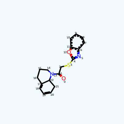 O=C(CSc1nc2ccccc2o1)N1CCCC2=CC=CCC21